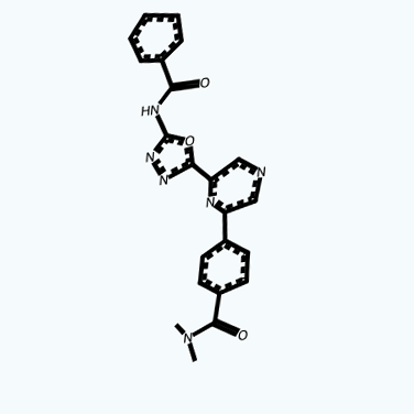 CN(C)C(=O)c1ccc(-c2cncc(-c3nnc(NC(=O)c4ccccc4)o3)n2)cc1